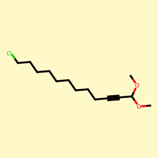 COC(C#CCCCCCCCCCCl)OC